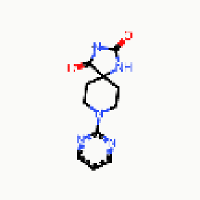 O=C1[N]C(=O)C2(CCN(c3ncccn3)CC2)N1